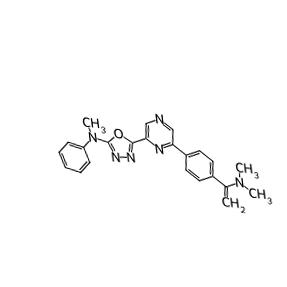 C=C(c1ccc(-c2cncc(-c3nnc(N(C)c4ccccc4)o3)n2)cc1)N(C)C